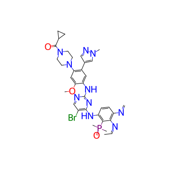 C=Nc1ccc(Nc2nc(Nc3cc(-c4cnn(C)c4)c(N4CCN(C(=O)C5CC5)CC4)cc3OC)ncc2Br)c(P(C)(C)=O)c1/N=C\C